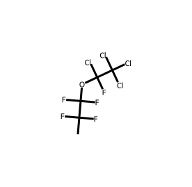 CC(F)(F)C(F)(F)OC(F)(Cl)C(Cl)(Cl)Cl